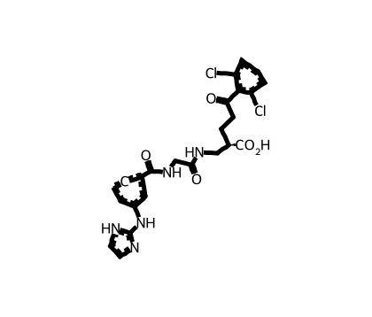 O=C(CNC(=O)c1cccc(Nc2ncc[nH]2)c1)NC[C@H](CCC(=O)c1c(Cl)cccc1Cl)C(=O)O